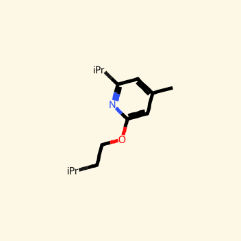 Cc1cc(OCCC(C)C)nc(C(C)C)c1